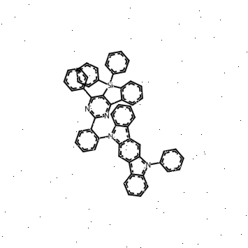 c1ccc(-c2nc(-c3ccccc3-n3c4ccccc4c4cc5c(cc43)c3ccccc3n5-c3ccccc3)nc3c2[Si](c2ccccc2)(c2ccccc2)c2ccccc2-3)cc1